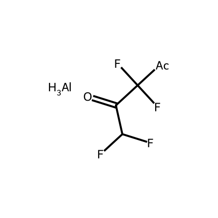 CC(=O)C(F)(F)C(=O)C(F)F.[AlH3]